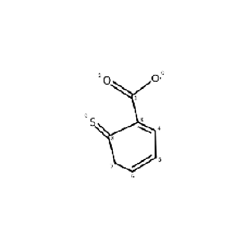 [O]C(=O)C1=CC=CCC1=S